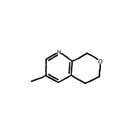 Cc1cnc2c(c1)CCOC2